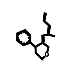 C=C/C=C(C)\C=C1/COCCC1c1ccccc1